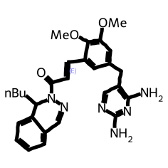 CCCCC1c2ccccc2C=NN1C(=O)/C=C/c1cc(Cc2cnc(N)nc2N)cc(OC)c1OC